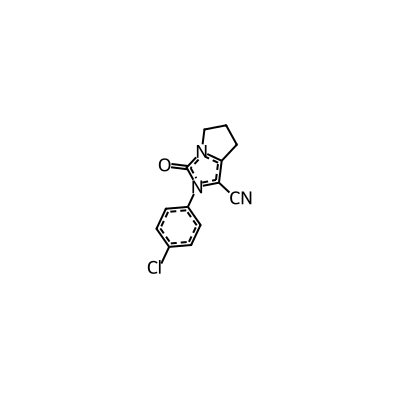 N#Cc1c2n(c(=O)n1-c1ccc(Cl)cc1)CCC2